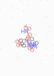 COC(=O)c1nc2cccc(-c3ccc(S(=O)(=O)CCNC(=O)OC(C)(C)C)c(S(=O)(=O)N(Cc4ccc(OC)cc4)Cc4ccc(OC)cc4)c3-c3nnn(Cc4ccc(OC)cc4)n3)n2n1